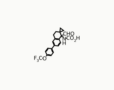 O=C[C@@]1(NC(=O)O)c2ccc(-c3ccc(OC(F)(F)F)cc3)cc2CCC12CC2